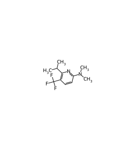 CC(C)c1nc(N(C)C)ccc1C(F)(F)F